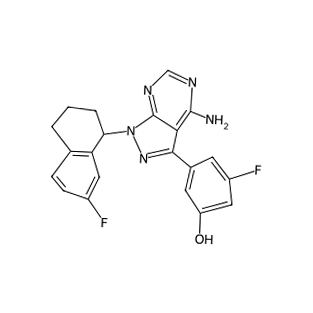 Nc1ncnc2c1c(-c1cc(O)cc(F)c1)nn2C1CCCc2ccc(F)cc21